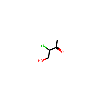 CC(=O)C(Cl)CO